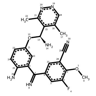 COc1c(F)cc(C(=N)c2cc(O[C@H](N)c3c(C)cnnc3C)ccc2N)cc1C#N